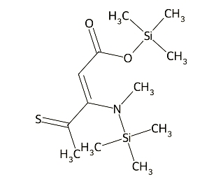 CC(=S)C(=CC(=O)O[Si](C)(C)C)N(C)[Si](C)(C)C